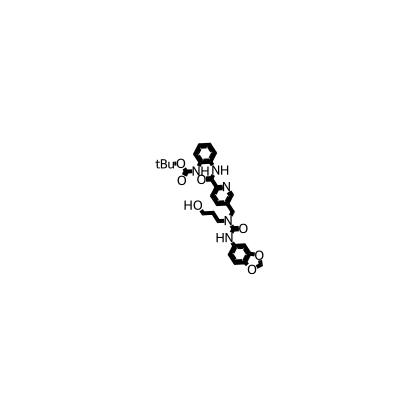 CC(C)(C)OC(=O)Nc1ccccc1NC(=O)c1ccc(CN(CCCO)C(=O)Nc2ccc3c(c2)OCO3)cn1